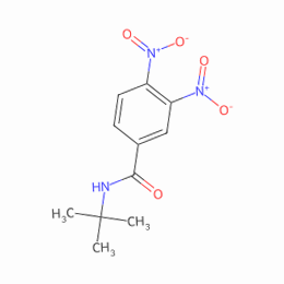 CC(C)(C)NC(=O)c1ccc([N+](=O)[O-])c([N+](=O)[O-])c1